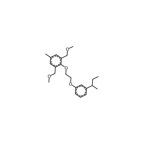 CCC(C)c1cccc(OCCOc2c(COC)cc(C)cc2COC)c1